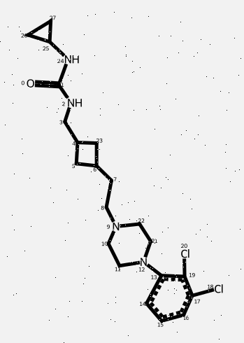 O=C(NCC1CC(CCN2CCN(c3cccc(Cl)c3Cl)CC2)C1)NC1CC1